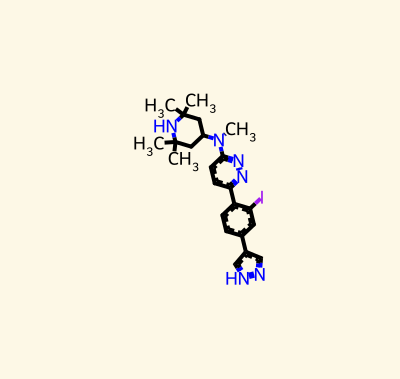 CN(c1ccc(-c2ccc(-c3cn[nH]c3)cc2I)nn1)C1CC(C)(C)NC(C)(C)C1